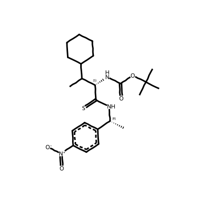 CC(C1CCCCC1)[C@H](NC(=O)OC(C)(C)C)C(=S)N[C@H](C)c1ccc([N+](=O)[O-])cc1